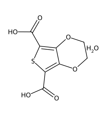 O.O=C(O)c1sc(C(=O)O)c2c1OCCO2